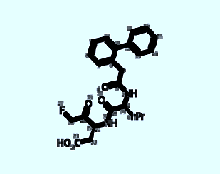 CCC[C@H](NC(=O)Cc1ccccc1-c1ccccc1)C(=O)N[C@@H](CC(=O)O)C(=O)CF